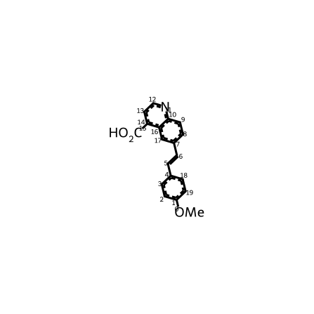 COc1ccc(C=Cc2ccc3nccc(C(=O)O)c3c2)cc1